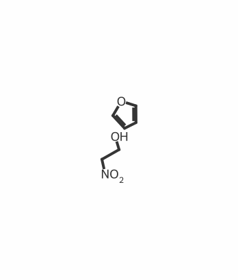 O=[N+]([O-])CCO.c1ccoc1